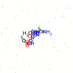 CC(C)N1C(=O)N(c2ccc(NS(=O)(=O)Cc3ccc(F)cc3)c(F)c2)Cc2cnc(N[C@@H]3CC[C@@H](N)C[C@@H]3F)nc21